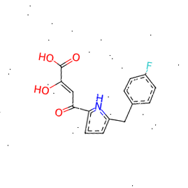 O=C(O)C(O)=CC(=O)c1ccc(Cc2ccc(F)cc2)[nH]1